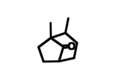 CC1CCC2CCC1(C)C2=O